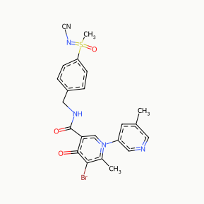 Cc1cncc(-n2cc(C(=O)NCc3ccc(S(C)(=O)=NC#N)cc3)c(=O)c(Br)c2C)c1